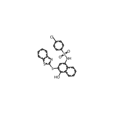 O=S(=O)(Nc1cc(Sc2nc3ccccc3s2)c(O)c2ccccc12)c1ccc(Cl)cc1